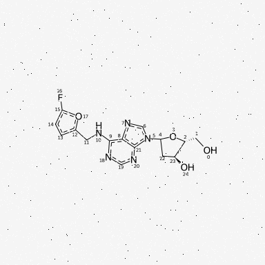 OC[C@H]1OC(n2cnc3c(NCc4ccc(F)o4)ncnc32)C[C@@H]1O